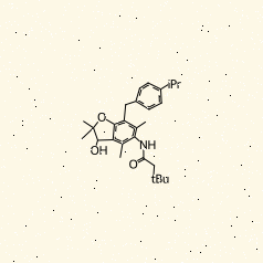 Cc1c(Cc2ccc(C(C)C)cc2)c2c(c(C)c1NC(=O)CC(C)(C)C)C(O)C(C)(C)O2